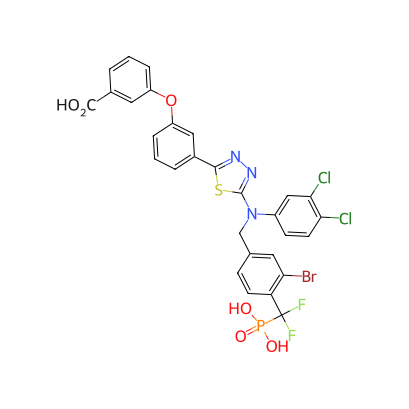 O=C(O)c1cccc(Oc2cccc(-c3nnc(N(Cc4ccc(C(F)(F)P(=O)(O)O)c(Br)c4)c4ccc(Cl)c(Cl)c4)s3)c2)c1